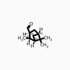 C[C@@H]1[C@@H](C=O)C[C@H]2C[C@@H]1C2(C)C